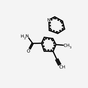 C#Cc1cc(C(N)=O)ccc1C.c1ccncc1